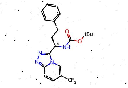 CC(C)(C)OC(=O)N[C@H](CCc1ccccc1)c1nnc2ccc(C(F)(F)F)cn12